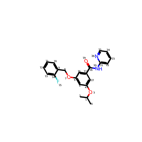 CC(C)Oc1cc(OCc2ccccc2F)cc(C(=O)Nc2ccccn2)c1